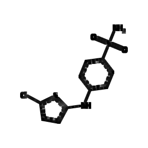 NS(=O)(=O)c1ccc(Nc2ccc(Cl)s2)cc1